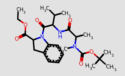 CCOC(=O)C1Cc2ccccc2N1C(=O)C(NC(=O)C(C)N(C)C(=O)OC(C)(C)C)C(C)C